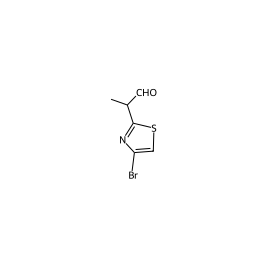 CC(C=O)c1nc(Br)cs1